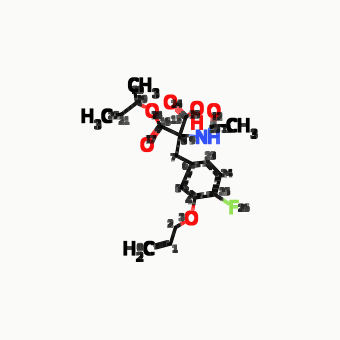 C=CCOc1cc(CC(NC(C)=O)(C(=O)O)C(=O)OC(C)CC)ccc1F